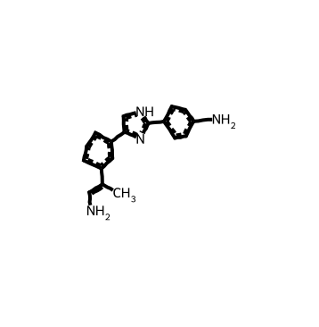 C/C(=C\N)c1cccc(-c2c[nH]c(-c3ccc(N)cc3)n2)c1